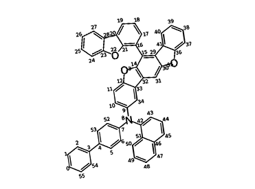 c1ccc(-c2ccc(N(c3ccc4oc5c(-c6cccc7c6oc6ccccc67)c6c(cc5c4c3)oc3ccccc36)c3cccc4ccccc34)cc2)cc1